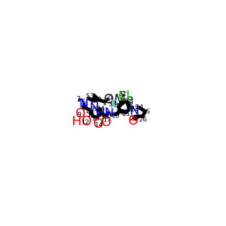 COCC1CC12CN(C)C(=O)c1c(O)c(=O)c(C(=O)NCc3cc(N4CCCC4=O)cc(Cl)c3F)cn12